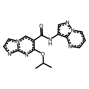 CC(C)Oc1nc2nccn2cc1C(=O)Nc1cnn2cccnc12